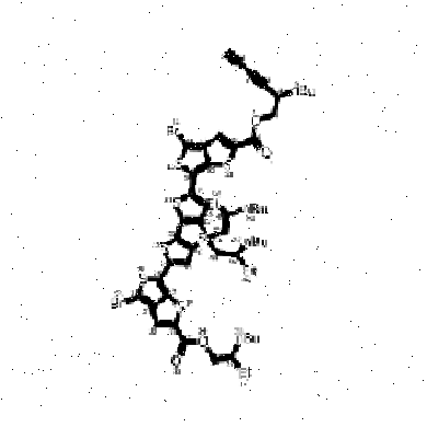 C#CC#CC(CCCC)COC(=O)c1cc2c(Br)sc(-c3cc4c(s3)-c3sc(-c5sc(Br)c6cc(C(=O)OCC(CC)CCCC)sc56)cc3[Si]4(CC(CC)CCCC)CC(CC)CCCC)c2s1